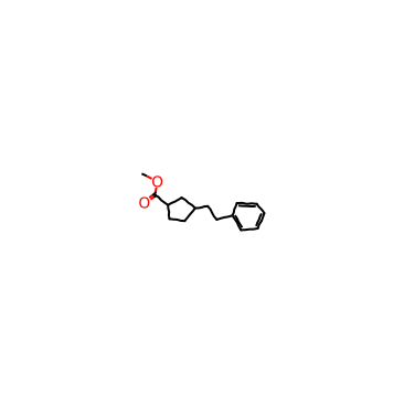 COC(=O)C1CCC(CCc2ccccc2)C1